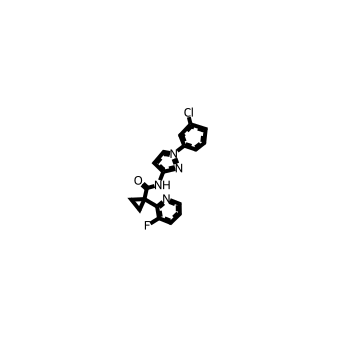 O=C(Nc1ccn(-c2cccc(Cl)c2)n1)C1(c2ncccc2F)CC1